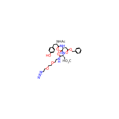 CC(=O)N[C@@H](Cc1ccc(O)cc1)C(=O)N[C@@H](CC(=O)OCc1ccccc1)C(=O)N[C@@H](CC(=O)O)C(=O)NCCOCCOCCN=[N+]=[N-]